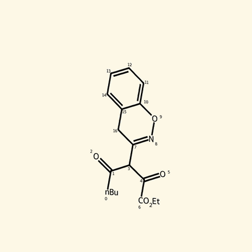 CCCCC(=O)C(C(=O)C(=O)OCC)C1=NOc2ccccc2C1